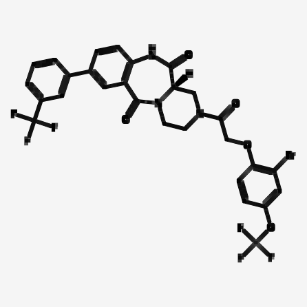 O=C1Nc2ccc(-c3cccc(C(F)(F)F)c3)cc2C(=O)N2CCN(C(=O)COc3ccc(OC(F)(F)F)cc3Br)C[C@@H]12